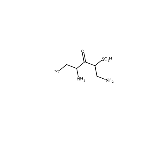 CC(C)CC(N)C(=O)C(CN)S(=O)(=O)O